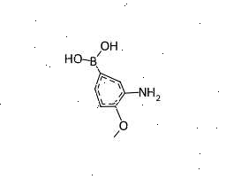 COc1ccc(B(O)O)cc1N